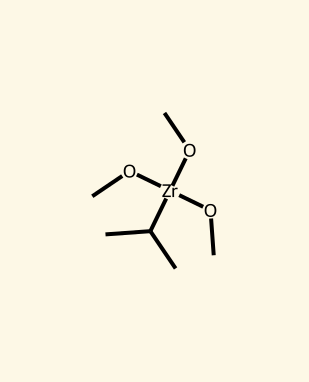 C[O][Zr]([O]C)([O]C)[CH](C)C